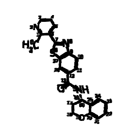 Cc1ncccc1-c1nc2ccc(C(=O)N[C@H]3CCOc4ccccc43)cc2s1